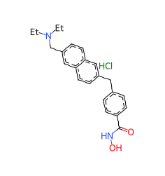 CCN(CC)Cc1ccc2cc(Cc3ccc(C(=O)NO)cc3)ccc2c1.Cl